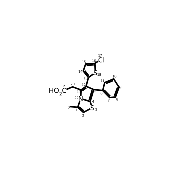 Cc1csc2c(-c3ccccc3)c(-c3ccc(Cl)s3)c(CC(=O)O)n12